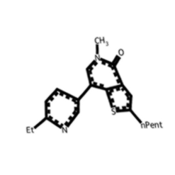 CCCCCc1cc2c(=O)n(C)cc(-c3ccc(CC)nc3)c2s1